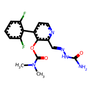 CN(C)C(=O)Oc1c(-c2c(F)cccc2F)ccnc1C=NNC(N)=O